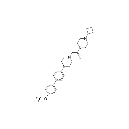 O=C(CN1CCN(c2ccc(-c3ccc(OC(F)(F)F)cc3)cc2)CC1)N1CCN(C2CCC2)CC1